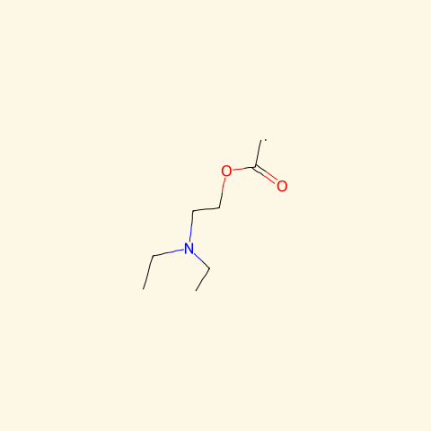 [CH2]C(=O)OCCN(CC)CC